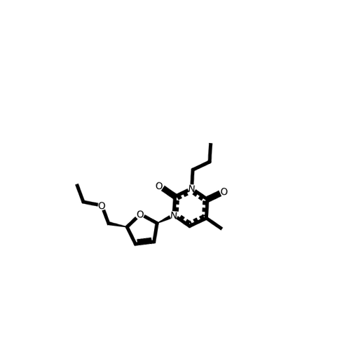 CCCn1c(=O)c(C)cn([C@H]2C=C[C@@H](COCC)O2)c1=O